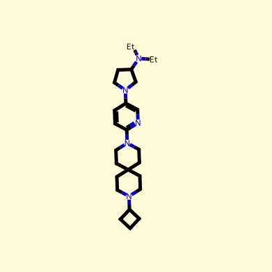 CCN(CC)C1CCN(c2ccc(N3CCC4(CC3)CCN(C3CCC3)CC4)nc2)C1